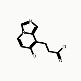 O=C(Cl)CCc1c(Cl)ccn2cncc12